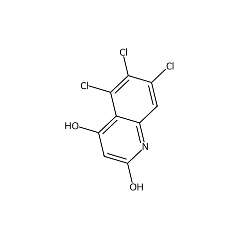 Oc1cc(O)c2c(Cl)c(Cl)c(Cl)cc2n1